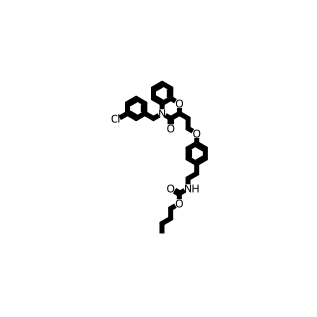 CCCCOC(=O)NCCc1ccc(OCCC2Oc3ccccc3N(Cc3cccc(Cl)c3)C2=O)cc1